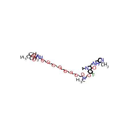 Cc1cc(CNCc2cn(C3CC3)c3cc(OCCN(C)C(=O)CCOCCOCCOCCOCCOCCOCCOCCNC(=O)OC(C)(C)C)c(F)cc3c2=O)ccn1